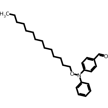 CCCCCCCCCCCCCCON(c1ccccc1)c1ccc(C=O)cc1